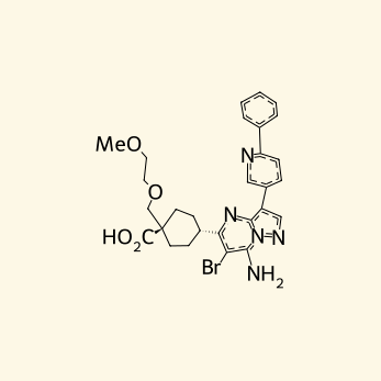 COCCOC[C@]1(C(=O)O)CC[C@H](c2nc3c(-c4ccc(-c5ccccc5)nc4)cnn3c(N)c2Br)CC1